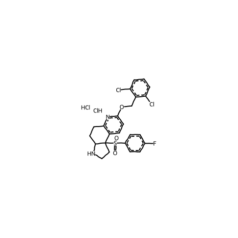 Cl.Cl.O=S(=O)(c1ccc(F)cc1)C12CCNC1CCc1nc(OCc3c(Cl)cccc3Cl)ccc12